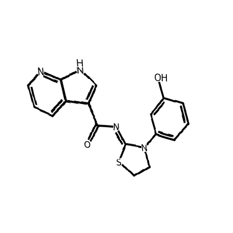 O=C(/N=C1\SCCN1c1cccc(O)c1)c1c[nH]c2ncccc12